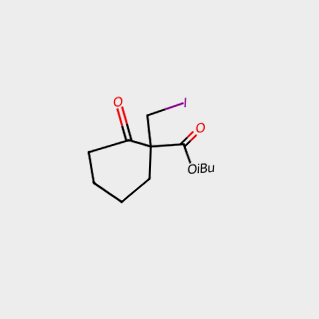 CC(C)COC(=O)C1(CI)CCCCC1=O